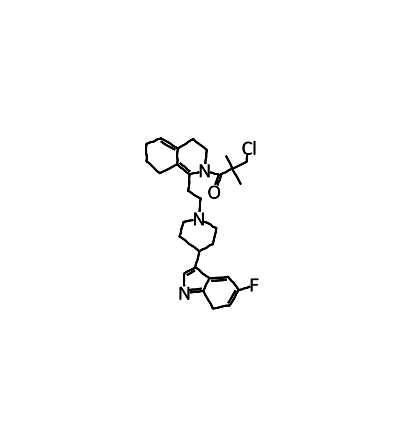 CC(C)(CCl)C(=O)N1CCC2=CCCCC2=C1CCN1CCC(C2=CN=C3CC=C(F)C=C23)CC1